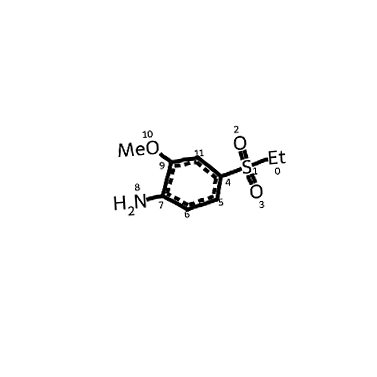 CCS(=O)(=O)c1ccc(N)c(OC)c1